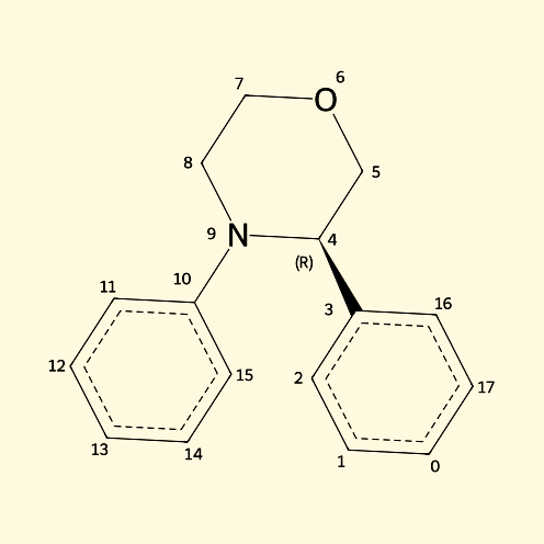 c1ccc([C@@H]2COCCN2c2ccccc2)cc1